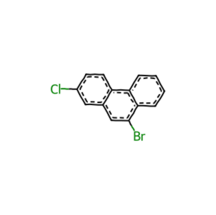 Clc1ccc2c(c1)cc(Br)c1ccccc12